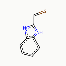 S=Cc1nc2ccccc2[nH]1